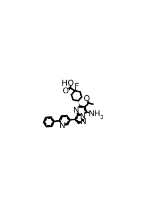 CC(=O)c1c(N)n2ncc(-c3ccc(-c4ccccc4)nc3)c2nc1[C@H]1CC[C@@](F)(C(=O)O)CC1